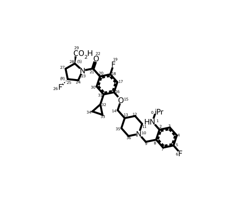 CC(C)Nc1ccc(F)cc1CN1CCC(COc2cc(F)c(C(=O)N3C[C@H](F)C[C@H]3C(=O)O)cc2C2CC2)CC1